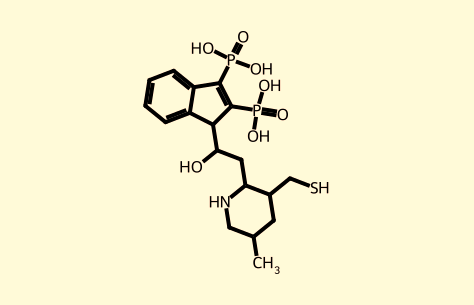 CC1CNC(CC(O)C2C(P(=O)(O)O)=C(P(=O)(O)O)c3ccccc32)C(CS)C1